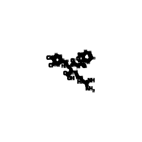 N=C(N)NCCC[C@@H](C(=O)O)N(NCc1ccc(Cl)c(Cl)c1)C(=O)CS(=O)(=O)C1=CC=CCC1=S